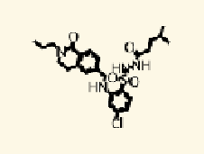 CCCN1CCc2cc(CNc3cc(Cl)ccc3S(=O)(=O)NNC(=O)CCC(C)C)ccc2C1=O